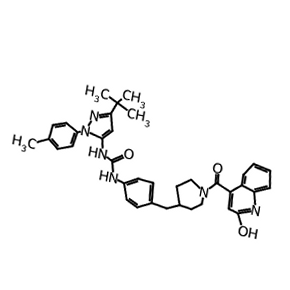 Cc1ccc(-n2nc(C(C)(C)C)cc2NC(=O)Nc2ccc(CC3CCN(C(=O)c4cc(O)nc5ccccc45)CC3)cc2)cc1